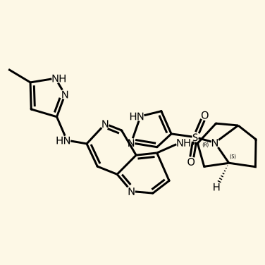 Cc1cc(Nc2cc3nccc(N[C@@H]4CC5CC[C@@H](C4)N5S(=O)(=O)c4cn[nH]c4)c3cn2)n[nH]1